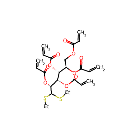 C=CC(=O)OC[C@@H](OC(=O)C=C)[C@@H](OC(=O)C=C)[C@H](OC(=O)C=C)[C@@H](OC(=O)C=C)C(SCC)SCC